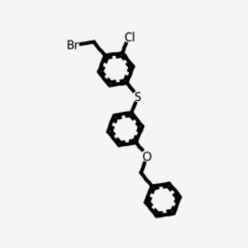 Clc1cc(Sc2cccc(OCc3ccccc3)c2)ccc1CBr